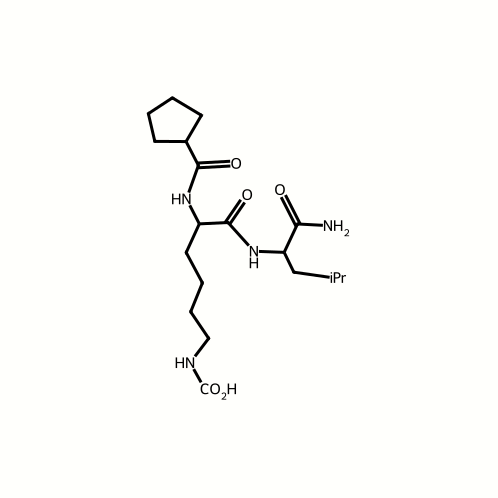 CC(C)CC(NC(=O)C(CCCCNC(=O)O)NC(=O)C1CCCC1)C(N)=O